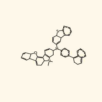 C[Si]1(C)C2=C(C=CC(N(C3=CC4c5ccccc5SC4C=C3)c3ccc(C4=c5ccccc5=CCC4)cc3)C2)C2=C3OC4C=CC=CC4C3=CCC21